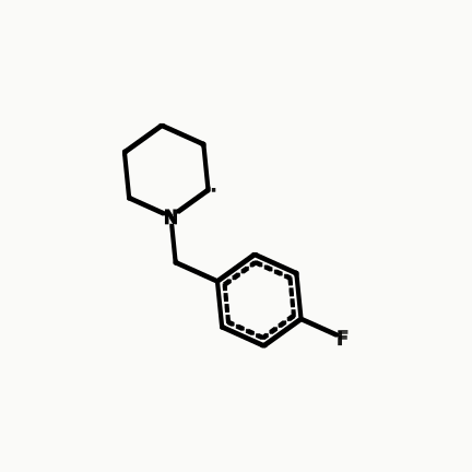 Fc1ccc(CN2[CH]CCCC2)cc1